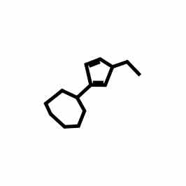 CC[C]1C=CC(C2CCCCCC2)=C1